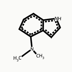 CN(C)c1cccc2[nH]c[c]c12